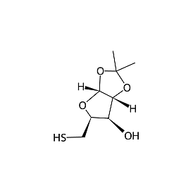 CC1(C)O[C@H]2O[C@H](CS)[C@H](O)[C@H]2O1